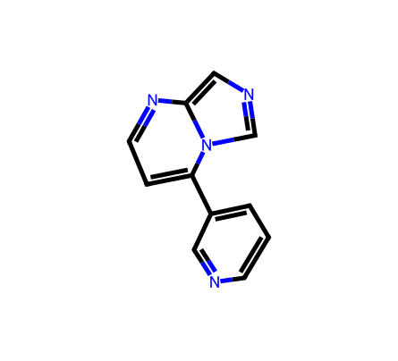 c1cncc(-c2ccnc3cncn23)c1